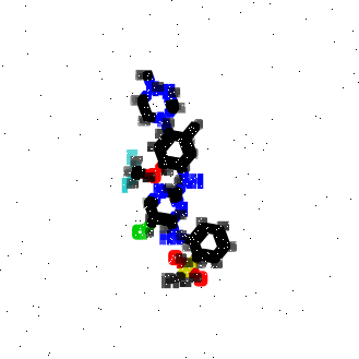 Cc1cc(Nc2ncc(Cl)c(Nc3ccccc3S(=O)(=O)C(C)C)n2)c(OC(F)F)cc1N1C=NN(C)CC1